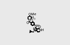 COC1CCN(C(=O)c2ccc(Nc3nn(CC4CC4)c4cc[nH]c(=O)c34)cc2C)CC1